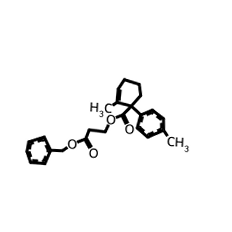 CC1=CCCCC1(C(=O)OCCC(=O)OCc1ccccc1)c1ccc(C)cc1